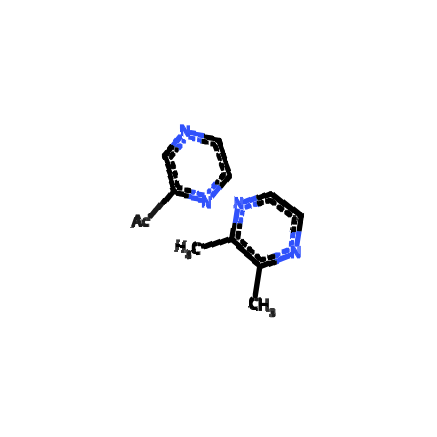 CC(=O)c1cnccn1.Cc1nccnc1C